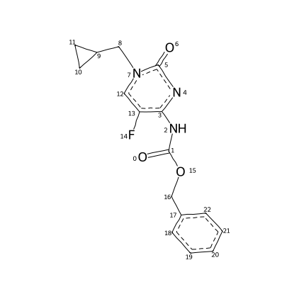 O=C(Nc1nc(=O)n(CC2CC2)cc1F)OCc1ccccc1